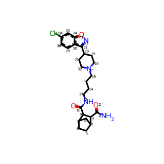 NC(=O)C1C2CCC(C2)C1C(=O)NCCCCN1CCC(c2noc3cc(Cl)ccc23)CC1